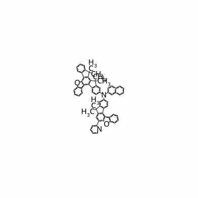 CC1(C)c2cc(N(c3ccc4c(c3)C(C)(C)c3c5c(c6oc7ccccc7c6c3-4)-c3ccccc3C5(C)C)c3ccc4ccccc4c3)ccc2-c2c1cc(-c1ccccn1)c1oc3ccccc3c21